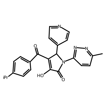 Cc1ccc(N2C(=O)C(O)=C(C(=O)c3ccc(C(C)C)cc3)C2c2ccncc2)nn1